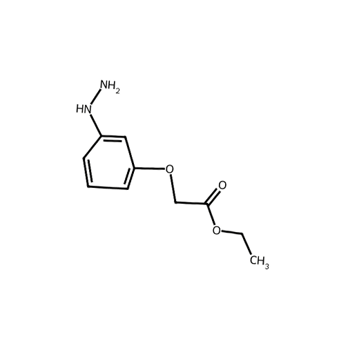 CCOC(=O)COc1cccc(NN)c1